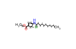 CCCCCCCCCCC(Br)Nc1ccc(C(=O)OCC)cc1